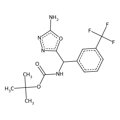 CC(C)(C)OC(=O)NC(c1cccc(C(F)(F)F)c1)c1nnc(N)o1